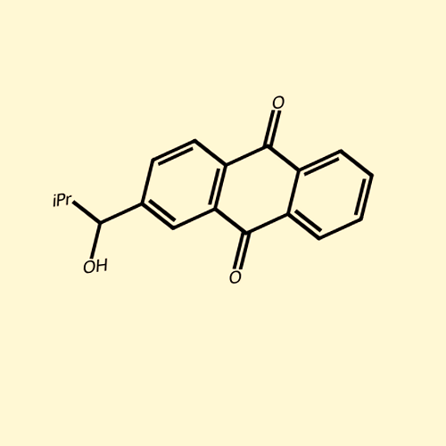 CC(C)C(O)c1ccc2c(c1)C(=O)c1ccccc1C2=O